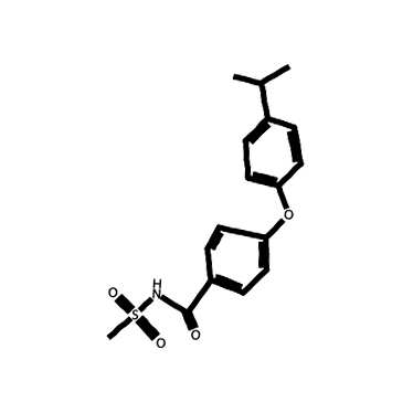 CC(C)c1ccc(Oc2ccc(C(=O)NS(C)(=O)=O)cc2)cc1